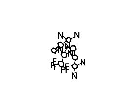 N#Cc1ccc(-c2ccc3c4ccccc4n(-c4cc(-c5cc(C(F)(F)F)cc(C(F)(F)F)c5)cc(-n5c6ccccc6c6ccc(-c7ccc(C#N)cc7C#N)cc65)c4C#N)c3c2)c(C#N)c1